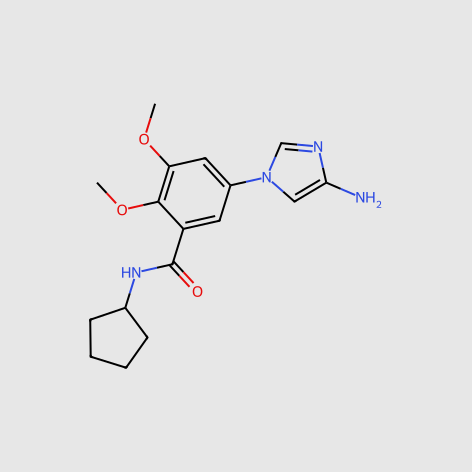 COc1cc(-n2cnc(N)c2)cc(C(=O)NC2CCCC2)c1OC